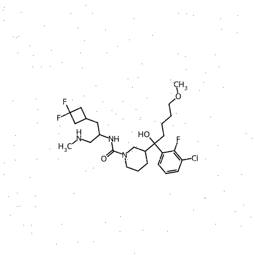 CNCC(CC1CC(F)(F)C1)NC(=O)N1CCCC(C(O)(CCCCOC)c2cccc(Cl)c2F)C1